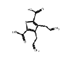 C=CCc1c(C(=O)O)oc(C(=O)O)c1CC=C